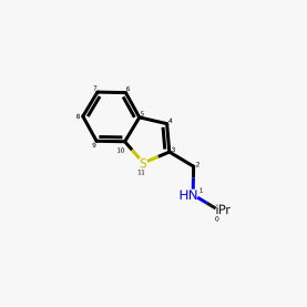 CC(C)NCc1cc2ccccc2s1